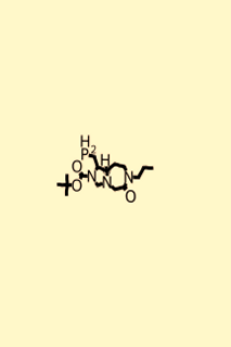 CCCN1CC[C@H]2C(CP)N(C(=O)OC(C)(C)C)CN2CC1=O